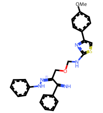 COc1ccc(-c2csc(NCOC/C(=N/Nc3ccccc3)C(=N)c3ccccc3)n2)cc1